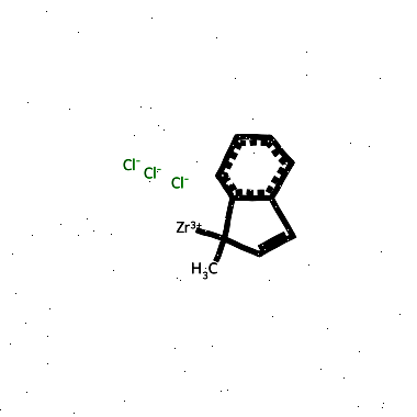 C[C]1([Zr+3])C=Cc2ccccc21.[Cl-].[Cl-].[Cl-]